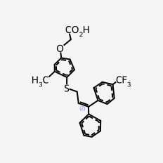 Cc1cc(OCC(=O)O)ccc1SC/C=C(/c1ccccc1)c1ccc(C(F)(F)F)cc1